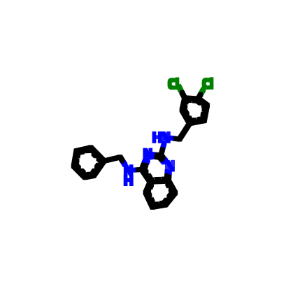 Clc1ccc(CNc2nc(NCc3ccccc3)c3ccccc3n2)cc1Cl